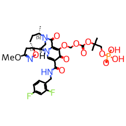 COC1=NO[C@@]2(CC[C@H](C)N3C[C@H]2n2cc(C(=O)NCc4ccc(F)cc4F)c(=O)c(OCOC(=O)OC(C)(C)COP(=O)(O)O)c2C3=O)C1